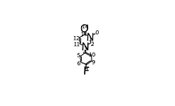 CN1CN(c2ccc(F)cc2)C=CC1=O